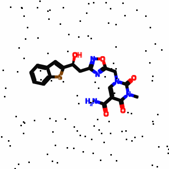 Cn1c(=O)c(C(N)=O)cn(Cc2nc(C[C@H](O)c3cc4ccccc4s3)no2)c1=O